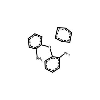 Pc1ccccc1Oc1ccccc1P.c1ccccc1